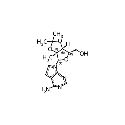 CC1(C)O[C@@H]2[C@@H](CO)O[C@@H](n3ccc4c(N)ncnc43)[C@]2(C)O1